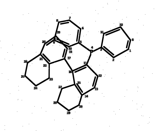 c1ccc(P(c2ccccc2)c2ccc3c(c2-c2cccc4c2CCCC4)CCCC3)cc1